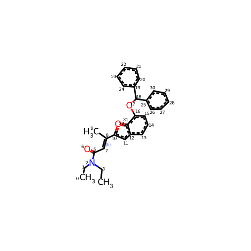 CCN(CC)C(=O)/C=C(\C)c1cc2cccc(OC(c3ccccc3)c3ccccc3)c2o1